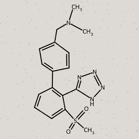 CN(C)Cc1ccc(-c2cccc(S(C)(=O)=O)c2-c2nnn[nH]2)cc1